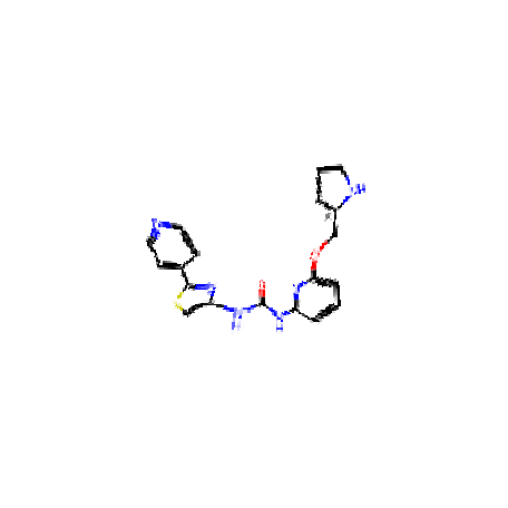 O=C(Nc1cccc(OC[C@H]2CCCN2)n1)Nc1csc(-c2ccncc2)n1